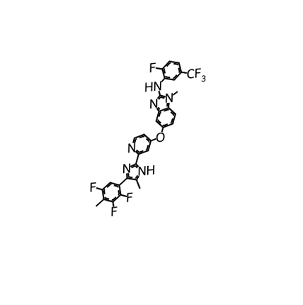 Cc1[nH]c(-c2cc(Oc3ccc4c(c3)nc(Nc3cc(C(F)(F)F)ccc3F)n4C)ccn2)nc1-c1cc(F)c(C)c(F)c1F